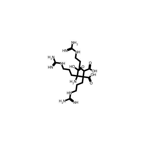 N=C(N)NCCCC(C(=O)O)C(CCCNC(=N)N)(C(=O)O)C(N)(CCCNC(=N)N)C(=O)O